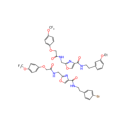 CCOc1cccc(CCNC(=O)c2coc(CNC(=O)COc3ccc(OC(F)(F)F)cc3)n2)c1.O=C(COc1ccc(OC(F)(F)F)cc1)NCc1nc(C(=O)NCCc2ccc(Br)cc2)co1